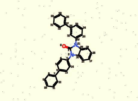 O=c1n(-c2ccc(-c3ccccc3)cc2)c2ccccc2n1-c1cccc(-c2ccccc2)c1